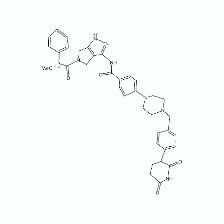 CO[C@@H](C(=O)N1Cc2[nH]nc(NC(=O)c3ccc(N4CCN(Cc5ccc(C6CCC(=O)NC6=O)cc5)CC4)cc3)c2C1)c1ccccc1